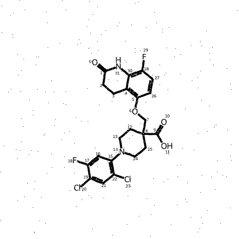 O=C1CCc2c(OCC3(C(=O)O)CCN(c4cc(F)c(Cl)cc4Cl)CC3)ccc(F)c2N1